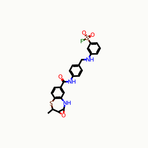 CC1Sc2ccc(C(=O)Nc3ccc(CNc4cccc(S(=O)(=O)F)c4)cc3)cc2NC2OC21